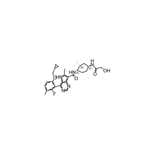 Cc1ccc(OCC2CC2)c(-c2ncnc3c(C(=O)N[C@H]4CC[C@H](NC(=O)CO)C[C@H]4C)c(C)[nH]c23)c1F